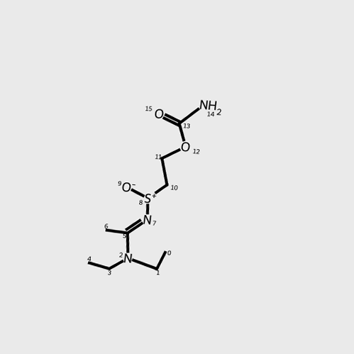 CCN(CC)C(C)=N[S+]([O-])CCOC(N)=O